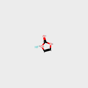 F.O=c1occo1